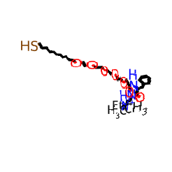 CC[N+](C)(C)CCNC(=O)C(Cc1ccccc1)NC(=O)COCCOCCOCCOCCOCCCCCCCCCCCS